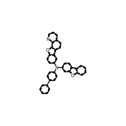 c1ccc(-c2ccc(N(c3ccc4c(c3)oc3ccccc34)c3ccc4oc5c(ccc6cccnc65)c4c3)cc2)cc1